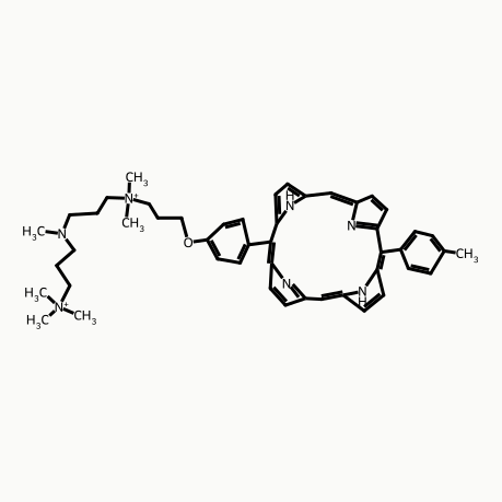 Cc1ccc(-c2c3nc(cc4ccc([nH]4)c(-c4ccc(OCCC[N+](C)(C)CCCN(C)CCC[N+](C)(C)C)cc4)c4nc(cc5ccc2[nH]5)C=C4)C=C3)cc1